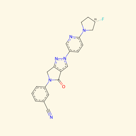 N#Cc1cccc(N2Cc3nn(-c4ccc(N5CC[C@H](F)C5)nc4)cc3C2=O)c1